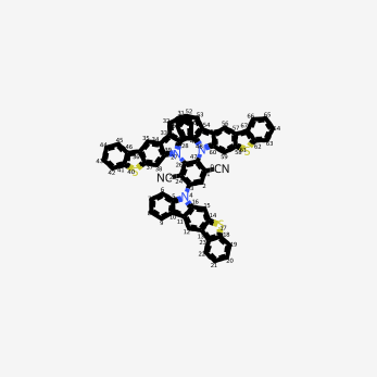 N#Cc1cc(-n2c3ccccc3c3cc4c(cc32)sc2ccccc24)c(C#N)c(-n2c3ccccc3c3cc4c(cc32)sc2ccccc24)c1-n1c2ccccc2c2cc3c(cc21)sc1ccccc13